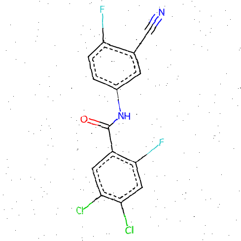 N#Cc1cc(NC(=O)c2cc(Cl)c(Cl)cc2F)ccc1F